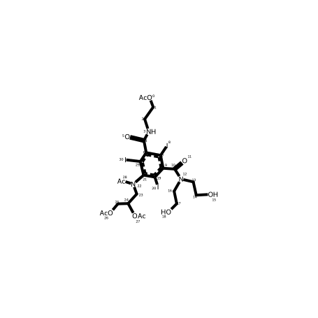 CC(=O)OCCNC(=O)c1c(I)c(C(=O)N(CCO)CCO)c(I)c(N(CC(COC(C)=O)OC(C)=O)C(C)=O)c1I